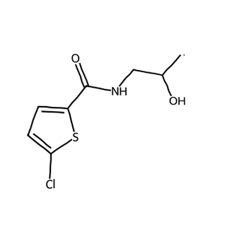 [CH2]C(O)CNC(=O)c1ccc(Cl)s1